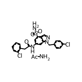 CC(N)=O.NS(=O)(=O)c1cc(NC(=O)Cc2ccccc2Cl)cc2c1cnn2Cc1ccc(Cl)cc1